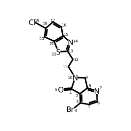 O=C1c2c(Br)ccnc2CN1CCc1nc2ccc(Cl)cc2s1